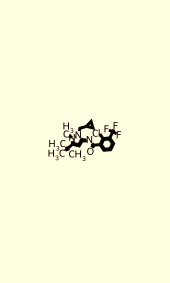 Cn1c(C(C)(C)C)cc(=NC(=O)c2cccc(C(F)(F)F)c2Cl)n1CC1CC1